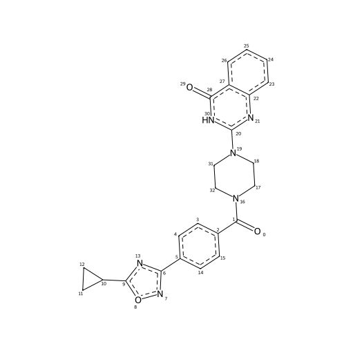 O=C(c1ccc(-c2noc(C3CC3)n2)cc1)N1CCN(c2nc3ccccc3c(=O)[nH]2)CC1